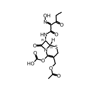 CCC(=O)C(=NO)C(=O)N[C@@H]1C(=O)N2C(OC(=O)O)=C(COC(C)=O)CS[C@@H]12